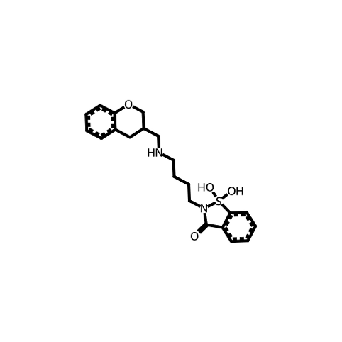 O=C1c2ccccc2S(O)(O)N1CCCCNCC1COc2ccccc2C1